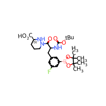 CC(C)(C)OC(=O)NC(Cc1cc(F)cc(B2OC(C)(C)C(C)(C)O2)c1)C(=O)N1CCC[C@@H](C(=O)O)N1